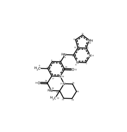 Cc1cc(Nc2ncnc3[nH]ccc23)c(=O)n2c1C(=O)NC1(C)CCCCN21